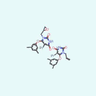 C=CCn1c(Oc2cc(C)cc(C)c2)c(C(C)C)c(=O)[nH]c1=O.Cc1cc(C)cc(Oc2c(C(C)C)c(=O)[nH]c(=O)n2CC2CO2)c1